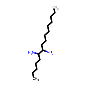 CCCCC[CH]CCCC(N)[C](N)CCCCC